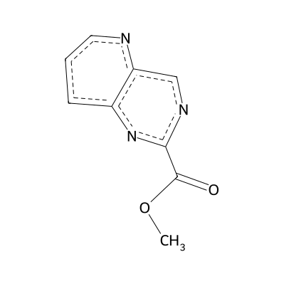 COC(=O)c1ncc2ncccc2n1